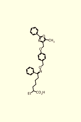 CCC(CCCCC(=NOCc1ccc(OCc2nc(-c3ccccc3)oc2C)cc1)c1ccccc1)C(=O)O